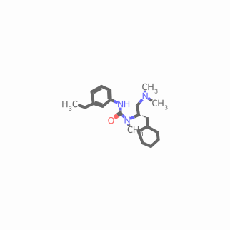 CCc1cccc(NC(=O)N(C)[C@@H](CC2CCCCC2)CN(C)C)c1